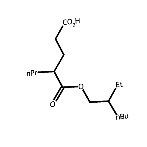 CCCCC(CC)COC(=O)C(CCC)CCC(=O)O